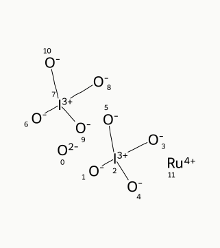 [O-2].[O-][I+3]([O-])([O-])[O-].[O-][I+3]([O-])([O-])[O-].[Ru+4]